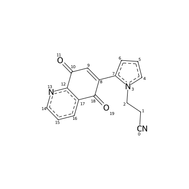 N#CCCn1cccc1C1=CC(=O)c2ncccc2C1=O